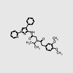 COc1ccc(CC(=O)N(CC(=O)Nc2nn(-c3ccccn3)cc2-c2ccccc2)C(C)C)cc1OC